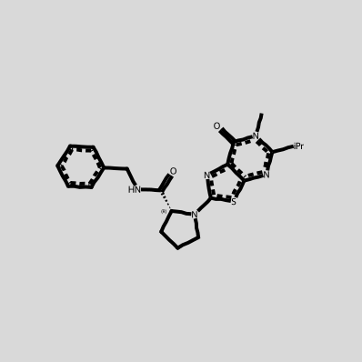 CC(C)c1nc2sc(N3CCC[C@@H]3C(=O)NCc3ccccc3)nc2c(=O)n1C